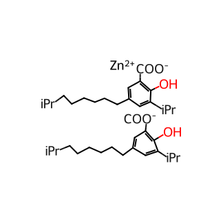 CC(C)CCCCCCc1cc(C(=O)[O-])c(O)c(C(C)C)c1.CC(C)CCCCCCc1cc(C(=O)[O-])c(O)c(C(C)C)c1.[Zn+2]